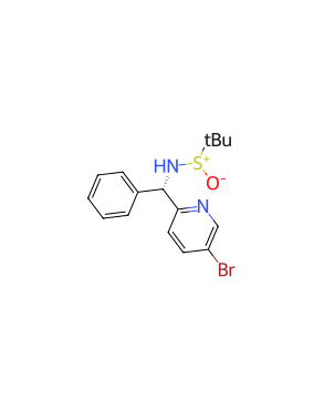 CC(C)(C)[S+]([O-])N[C@@H](c1ccccc1)c1ccc(Br)cn1